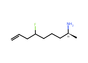 C=CCC(F)CCC[C@H](C)N